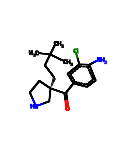 CC(C)(C)CC[C@@]1(C(=O)c2ccc(N)c(Cl)c2)CCNC1